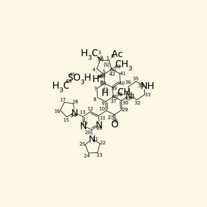 CC(=O)[C@H]1[C@H](C)C[C@H]2[C@@H]3CCC4=C(c5cc(N6CCCC6)nc(N6CCCC6)n5)C(=O)C=C(N5CCNCC5)[C@]4(C)C3=CC[C@@]21C.CS(=O)(=O)O